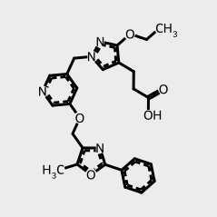 CCOc1nn(Cc2cncc(OCc3nc(-c4ccccc4)oc3C)c2)cc1CCC(=O)O